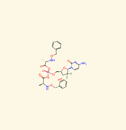 C[C@H](NOCc1ccccc1)C(=O)OP(=O)(OC[C@H]1O[C@@H](n2ccc(N)nc2=O)C(F)(F)[C@@H]1O)OC(=O)[C@H](C)NOCc1ccccc1